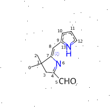 CC1(C)CC(C=O)=N/C1=C\c1ccc[nH]1